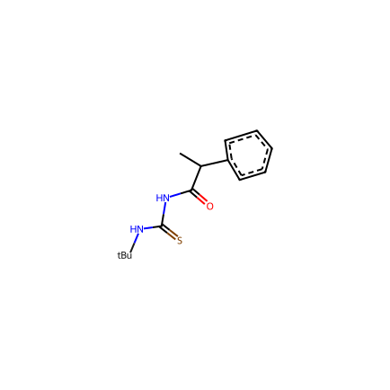 CC(C(=O)NC(=S)NC(C)(C)C)c1ccccc1